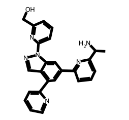 CC(N)c1cccc(-c2cc(-c3ccccn3)c3cnn(-c4cccc(CO)n4)c3c2)n1